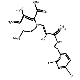 C=C/C(C)=C(/C(=C)CCCC)N(/C=C(\C)C(=C)NCc1ccc(F)cc1F)CCNC